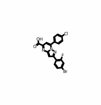 O=C(O)c1cc(-c2ccc(Cl)cc2)n2nc(-c3ccc(Br)cc3F)cc2n1